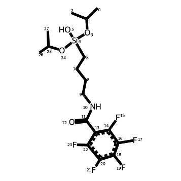 CC(C)O[Si](O)(CCCCNC(=O)c1c(F)c(F)c(F)c(F)c1F)OC(C)C